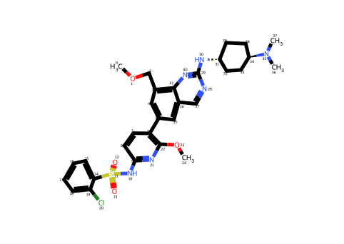 COCc1cc(-c2ccc(NS(=O)(=O)c3ccccc3Cl)nc2OC)cc2cnc(N[C@H]3CC[C@H](N(C)C)CC3)nc12